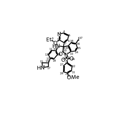 CCOc1ncccc1C1(Nc2ccc(C3CNC3)cc2)C(=O)N(S(=O)(=O)c2ccc(OC)cc2)c2ccc(I)cc21